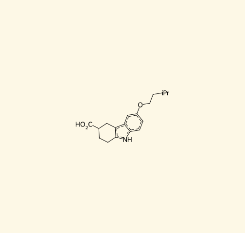 CC(C)CCOc1ccc2[nH]c3c(c2c1)CC(C(=O)O)CC3